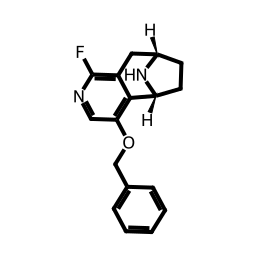 Fc1ncc(OCc2ccccc2)c2c1C[C@@H]1CC[C@H]2N1